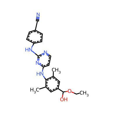 CCOC(O)c1cc(C)c(Nc2ccnc(Nc3ccc(C#N)cc3)n2)c(C)c1